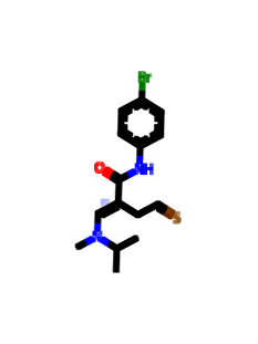 CC(C)N(C)/C=C(\CC=S)C(=O)Nc1ccc(Br)cc1